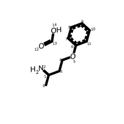 CC(N)CCOc1ccccc1.O=CO